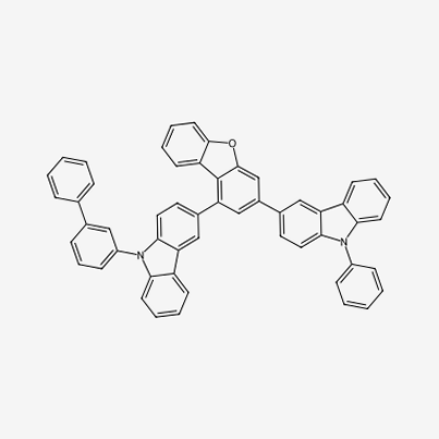 c1ccc(-c2cccc(-n3c4ccccc4c4cc(-c5cc(-c6ccc7c(c6)c6ccccc6n7-c6ccccc6)cc6oc7ccccc7c56)ccc43)c2)cc1